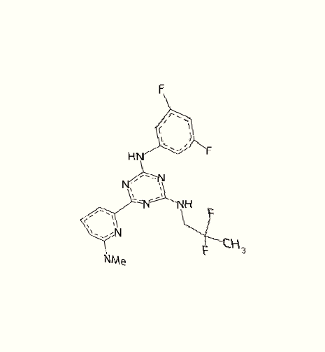 CNc1cccc(-c2nc(NCC(C)(F)F)nc(Nc3cc(F)cc(F)c3)n2)n1